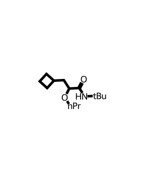 CCCOC(CC1CCC1)C(=O)NC(C)(C)C